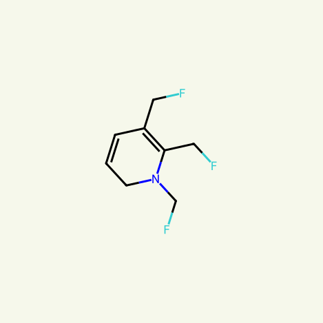 FCC1=C(CF)N(CF)CC=C1